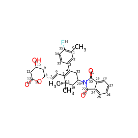 Cc1cc(C2=C(C=C[C@H]3C[C@H](O)CC(=O)O3)C(C)(C)CC(N3C(=O)c4ccccc4C3=O)C2)ccc1F